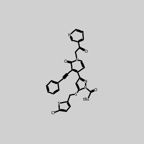 CC(C)(C)C(=O)n1nc(-c2ccn(CC(=O)c3cccnc3)c(=O)c2C#Cc2ccccc2)cc1SCc1ccc(Cl)s1